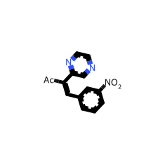 CC(=O)C(=Cc1cccc([N+](=O)[O-])c1)c1cnccn1